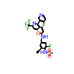 C#Cc1cc(CNC(=O)/C=C\c2ccc(C(F)(F)F)nc2-c2cnccc2F)cc(F)c1NS(C)(=O)=O